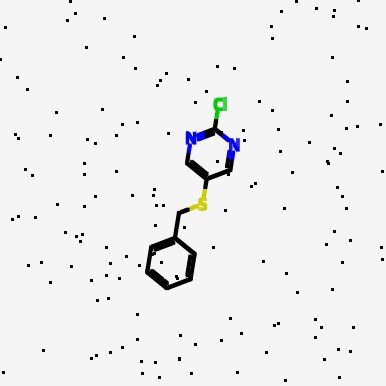 Clc1ncc(SCc2ccccc2)cn1